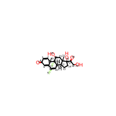 C[C@]12C=CC(=O)C=C1C(F)=C[C@H]1[C@@H]3CC[C@](O)(C(=O)CO)[C@@]3(C)C[C@H](O)[C@@]12F